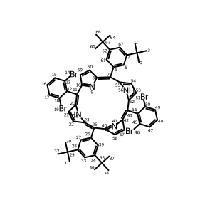 CC(C)(C)c1cc(-c2c3nc(c(-c4c(Br)cccc4Br)c4ccc([nH]4)c(-c4cc(C(C)(C)C)cc(C(C)(C)C)c4)c4nc(c(-c5c(Br)cccc5Br)c5ccc2[nH]5)C=C4)C=C3)cc(C(C)(C)C)c1